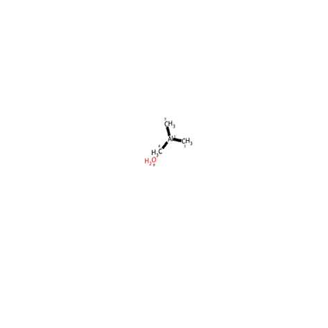 O.[CH3][Al]([CH3])[CH3]